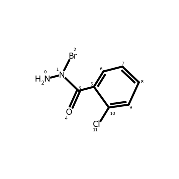 NN(Br)C(=O)c1ccccc1Cl